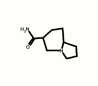 NC(=O)C1CCC2CCCN2C1